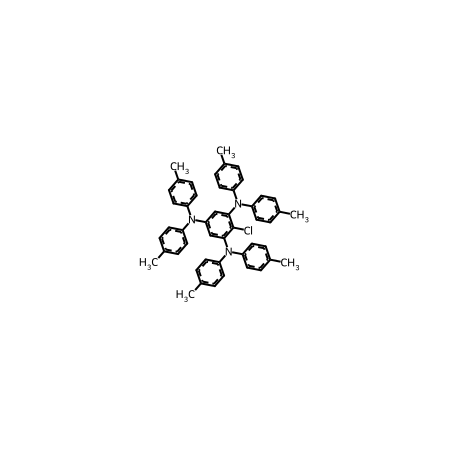 Cc1ccc(N(c2ccc(C)cc2)c2cc(N(c3ccc(C)cc3)c3ccc(C)cc3)c(Cl)c(N(c3ccc(C)cc3)c3ccc(C)cc3)c2)cc1